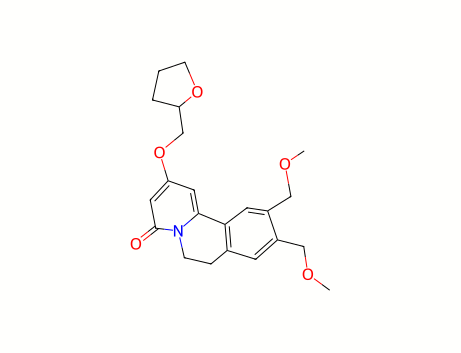 COCc1cc2c(cc1COC)-c1cc(OCC3CCCO3)cc(=O)n1CC2